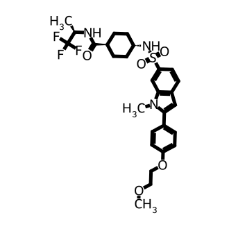 COCCOc1ccc(-c2cc3ccc(S(=O)(=O)N[C@H]4CC[C@H](C(=O)N[C@H](C)C(F)(F)F)CC4)cc3n2C)cc1